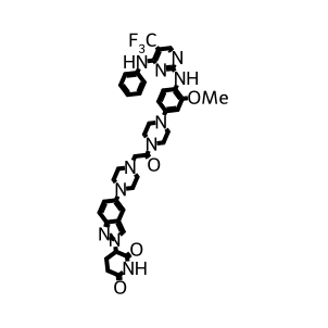 COc1cc(N2CCN(C(=O)CN3CCN(c4ccc5nn(C6CCC(=O)NC6=O)cc5c4)CC3)CC2)ccc1Nc1ncc(C(F)(F)F)c(Nc2ccccc2)n1